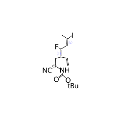 C=C/C(C[C@@H](C#N)NC(=O)OC(C)(C)C)=C(F)\C=C(/C)I